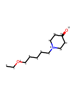 CCOCCCCCN1CCC(=O)CC1